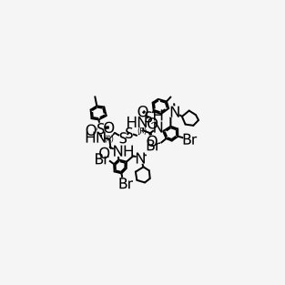 Cc1ccc(S(=O)(=O)N[C@@H](CSSC[C@H](NS(=O)(=O)c2ccc(C)cc2)C(=O)Nc2c(Br)cc(Br)cc2CN(C)C2CCCCC2)C(=O)Nc2c(Br)cc(Br)cc2CN(C)C2CCCCC2)cc1